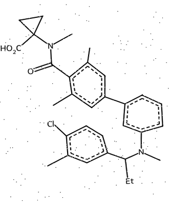 CCC(c1ccc(Cl)c(C)c1)N(C)c1cccc(-c2cc(C)c(C(=O)N(C)C3(C(=O)O)CC3)c(C)c2)c1